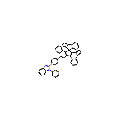 c1ccc(-n2c(-c3ccc(-c4cc5c(c6ccccc46)C4(c6ccccc6-c6ccccc64)c4c-5c5ccccc5c5ccccc45)cc3)nc3ccccc32)cc1